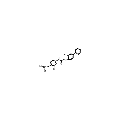 CCN(CC)CCc1ccc(NC(=O)COc2ccc(-c3ccccc3)cc2Br)cc1Br